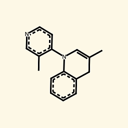 CC1=CN(c2ccncc2C)c2ccccc2C1